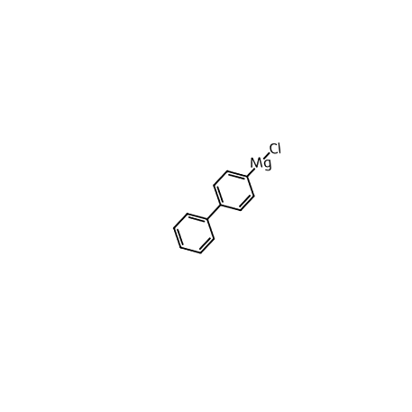 [Cl][Mg][c]1ccc(-c2ccccc2)cc1